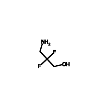 NCC(F)(F)CO